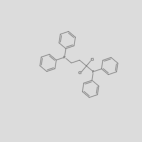 ClC(Cl)(CCP(c1ccccc1)c1ccccc1)P(c1ccccc1)c1ccccc1